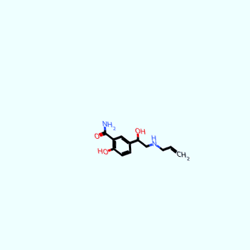 C=CCNCC(O)c1ccc(O)c(C(N)=O)c1